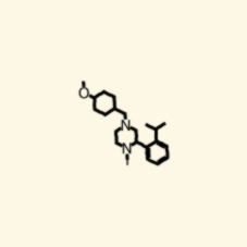 COC1CCC(CN2CCN(I)C(c3ccccc3C(C)C)C2)CC1